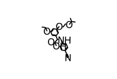 CCOc1cc(OCCOC(C)C)cc(C(Nc2ccc(C#N)cc2)C(=O)O)c1